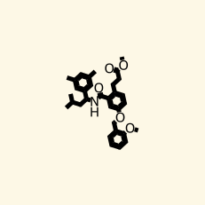 COC(=O)CCc1ccc(OCc2ccccc2OC)cc1C(=O)NC(CC(C)C)c1cc(C)cc(C)c1